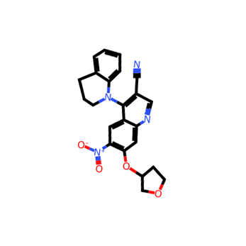 N#Cc1cnc2cc(OC3CCOC3)c([N+](=O)[O-])cc2c1N1CCCc2ccccc21